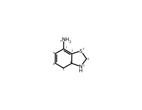 NC1=C2SCNC2CC=C1